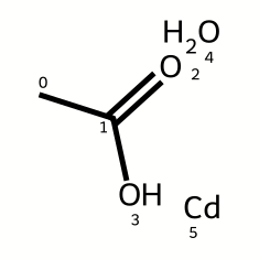 CC(=O)O.O.[Cd]